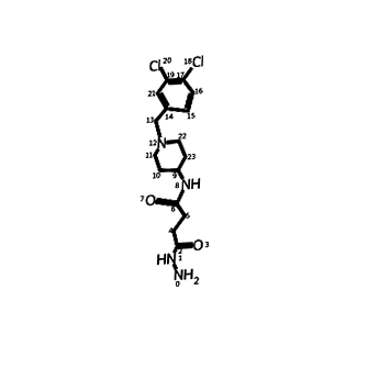 NNC(=O)CCC(=O)NC1CCN(Cc2ccc(Cl)c(Cl)c2)CC1